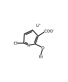 CCOc1nc(Cl)ccc1C(=O)[O-].[Li+]